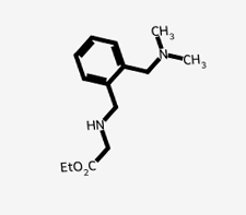 CCOC(=O)CNCc1ccccc1CN(C)C